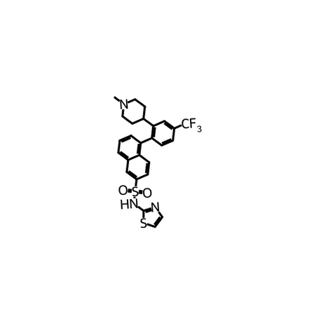 CN1CCC(c2cc(C(F)(F)F)ccc2-c2cccc3cc(S(=O)(=O)Nc4nccs4)ccc23)CC1